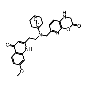 COc1ccc2c(=O)cc(CCN(Cc3ccc4c(n3)OC(=O)CN4)C34CCC(CC3)OC4)[nH]c2c1